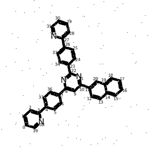 c1ccc(-c2ccc(-c3cc(-c4ccc5ccccc5c4)nc(-c4ccc(-c5ccccn5)cc4)n3)cc2)nc1